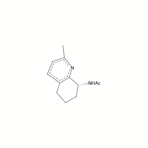 CC(=O)N[C@@H]1CCCc2ccc(C)nc21